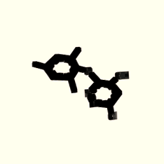 Cc1cc(C)c(Oc2nnc(Cl)cc2O)c(C)c1